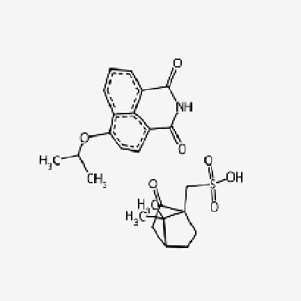 CC(C)Oc1ccc2c3c(cccc13)C(=O)NC2=O.CC1(C)C2CCC1(CS(=O)(=O)O)C(=O)C2